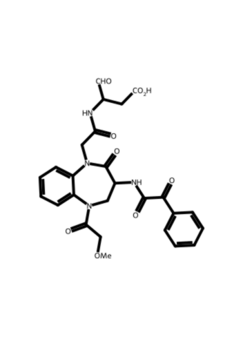 COCC(=O)N1CC(NC(=O)C(=O)c2ccccc2)C(=O)N(CC(=O)NC(C=O)CC(=O)O)c2ccccc21